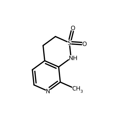 Cc1nccc2c1NS(=O)(=O)CC2